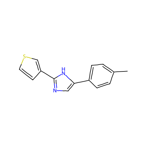 Cc1ccc(-c2cnc(-c3ccsc3)[nH]2)cc1